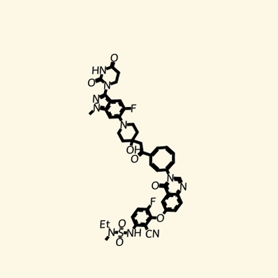 CCN(C)S(=O)(=O)Nc1ccc(F)c(Oc2ccc3ncn(C4=C/C=C\C=C(C(=O)CC5(O)CCN(c6cc7c(cc6F)c(N6CCC(=O)NC6=O)nn7C)CC5)/C=C\4)c(=O)c3c2)c1C#N